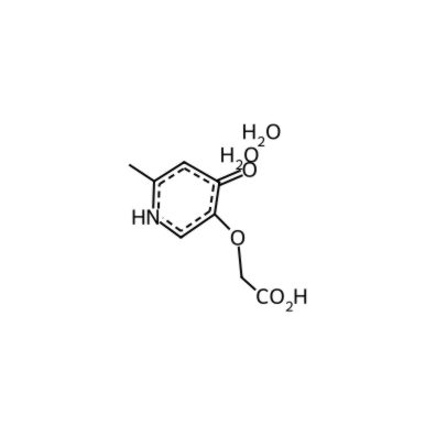 Cc1cc(=O)c(OCC(=O)O)c[nH]1.O.O